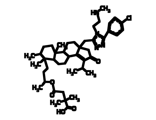 CNCCn1c(CC23CCC4C(CCC5C(C)(CCC(C)OC(=O)CC(C)(C)C(=O)O)C(C)CCC45C)C2=C(C(C)C)C(=O)C3)nnc1-c1ccc(Cl)cc1